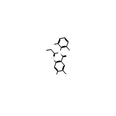 CCc1nc2cc(F)c(I)cc2c(=O)n1-c1c(C)cccc1F